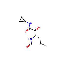 CCC[C@H](NC=O)C(=O)C(=O)NC1CC1